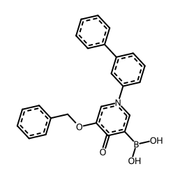 O=c1c(OCc2ccccc2)cn(-c2cccc(-c3ccccc3)c2)cc1B(O)O